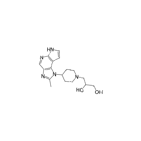 Cc1nc2cnc3[nH]ccc3c2n1C1CCN(CC(O)CO)CC1